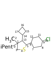 CCCC(C)C1(C)CSC(C2CCC(Cl)CC2)C1C1CCC1